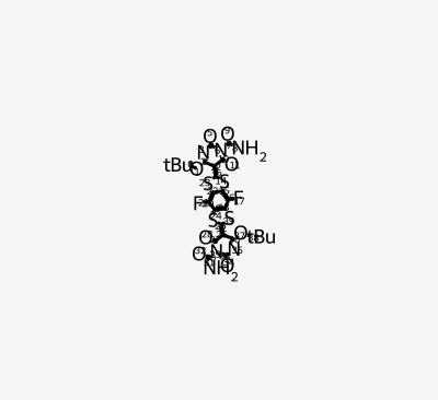 CC(C)(C)OC1=NC(=O)N(C(N)=O)C(=O)C1=C1Sc2c(F)c3c(c(F)c2S1)SC(=C1C(=O)N(C(N)=O)C(=O)N=C1OC(C)(C)C)S3